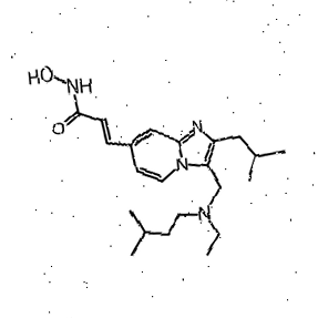 CCN(CCC(C)C)Cc1c(CC(C)C)nc2cc(C=CC(=O)NO)ccn12